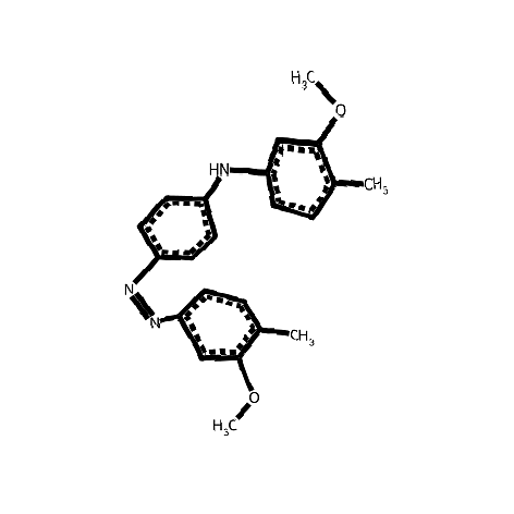 COc1cc(/N=N\c2ccc(Nc3ccc(C)c(OC)c3)cc2)ccc1C